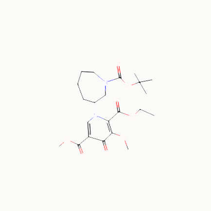 CCOC(=O)c1c(OC)c(=O)c(C(=O)OC)cn1[C@@H]1CCCCN(C(=O)OC(C)(C)C)C1